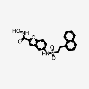 O=C(NO)c1cc2cc(NS(=O)(=O)CCc3cccc4ccccc34)ccc2o1